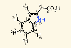 [2H]c1c([2H])c([2H])c2c([2H])c(CC(=O)O)[nH]c2c1[2H]